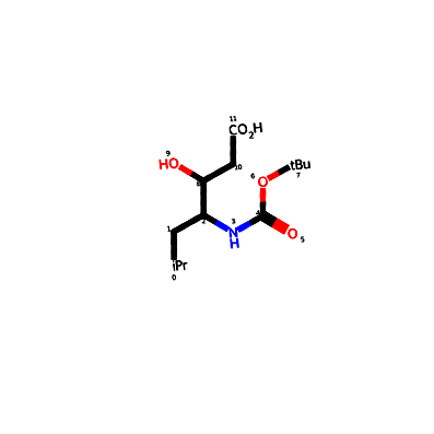 CC(C)CC(NC(=O)OC(C)(C)C)C(O)CC(=O)O